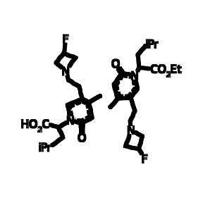 CCOC(=O)C(CC(C)C)n1cc(CCN2CC(F)C2)c(C)cc1=O.Cc1cc(=O)n(C(CC(C)C)C(=O)O)cc1CCN1CC(F)C1